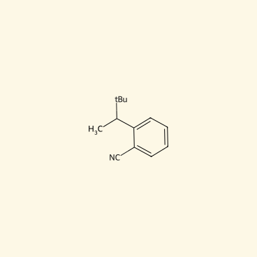 CC(c1ccccc1C#N)C(C)(C)C